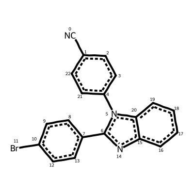 N#Cc1ccc(-n2c(-c3ccc(Br)cc3)nc3ccccc32)cc1